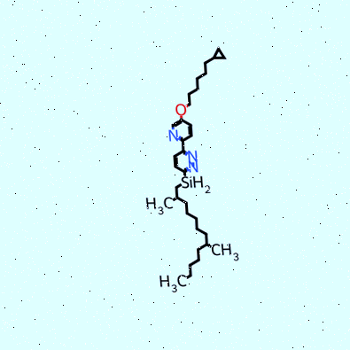 CCCCCC(C)CCCCCC(C)C[SiH2]c1ccc(-c2ccc(OCCCCCCC3CC3)cn2)nn1